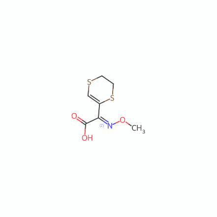 CO/N=C(/C(=O)O)C1=CSCCS1